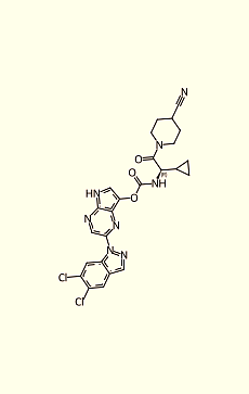 N#CC1CCN(C(=O)[C@H](NC(=O)Oc2c[nH]c3ncc(-n4ncc5cc(Cl)c(Cl)cc54)nc23)C2CC2)CC1